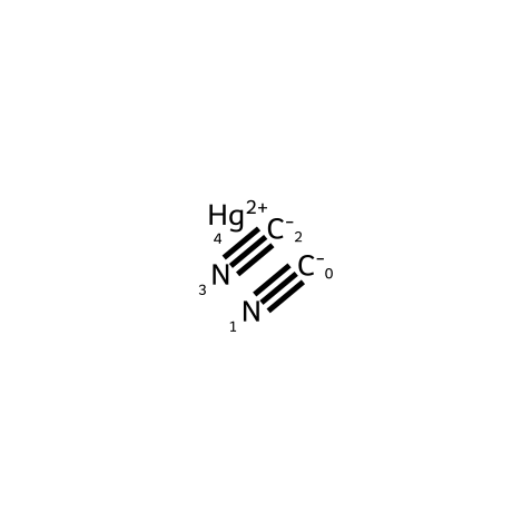 [C-]#N.[C-]#N.[Hg+2]